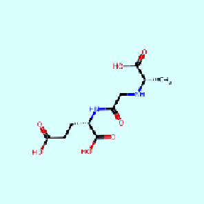 C[C@H](NCC(=O)N[C@@H](CCC(=O)O)C(=O)O)C(=O)O